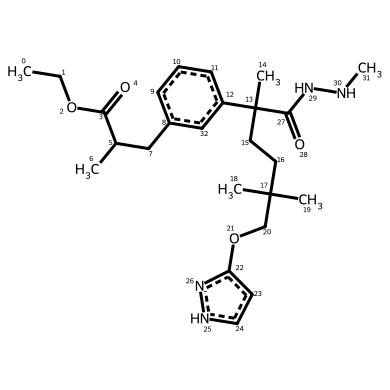 CCOC(=O)C(C)Cc1cccc(C(C)(CCC(C)(C)COc2cc[nH]n2)C(=O)NNC)c1